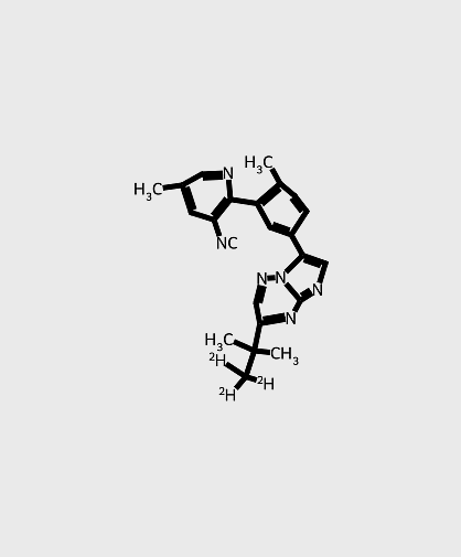 [2H]C([2H])([2H])C(C)(C)c1cnn2c(-c3ccc(C)c(-c4ncc(C)cc4[N+]#[C-])c3)cnc2n1